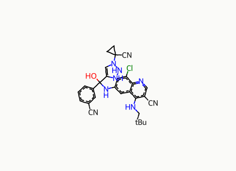 CC(C)(C)CNc1c(C#N)cnc2c(Cl)cc(NC(O)(C3=CN(C4(C#N)CC4)NN3)c3cccc(C#N)c3)cc12